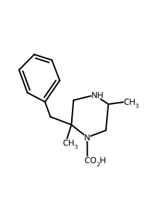 CC1CN(C(=O)O)C(C)(Cc2ccccc2)CN1